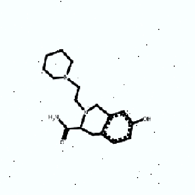 NC(=O)C1Cc2ccc(O)cc2CN1CCN1CCCCC1